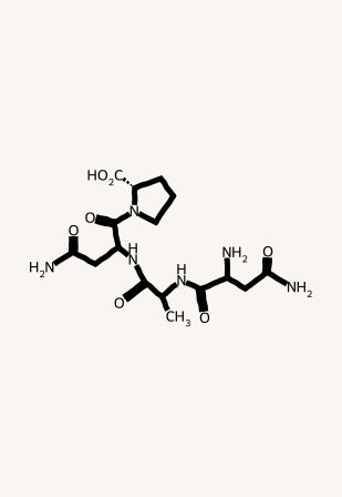 CC(NC(=O)C(N)CC(N)=O)C(=O)NC(CC(N)=O)C(=O)N1CCC[C@H]1C(=O)O